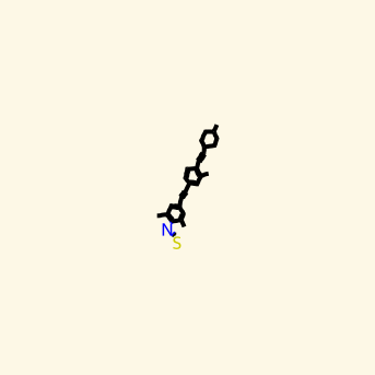 Cc1cc(C#Cc2cc(C)c(N=C=S)c(C)c2)ccc1C#CC1CCC(C)CC1